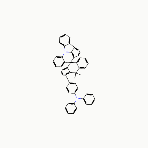 CC1(C)c2ccccc2C2(c3ccccc3-n3c4ccccc4c4cccc2c43)c2cccc(-c3ccc(N(c4ccccc4)c4ccccc4)cc3)c21